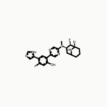 CN(c1cnc(-c2cc(-c3cnc[nH]3)c(F)cc2O)cn1)[C@@H]1CC2CCC[C@H](N2)[C@@H]1F